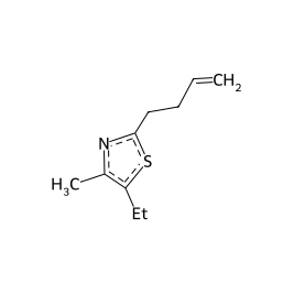 C=CCCc1nc(C)c(CC)s1